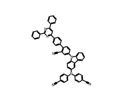 N#Cc1ccc(N(c2ccc(C#N)cc2)c2ccc3c(c2)c2ccccc2n3-c2ccc(-c3ccc(-c4cc(-c5ccccc5)nc(-c5ccccc5)n4)cc3)c(C#N)c2)cc1